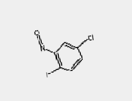 O=Nc1cc(Cl)ccc1I